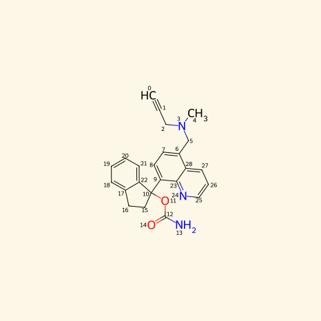 C#CCN(C)Cc1ccc(C2(OC(N)=O)CCc3ccccc32)c2ncccc12